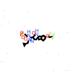 CS(=O)(=O)CC(=O)Nc1c2c(nn1CCC1CC1)CC1(Cc3ccc(OCC(F)(F)F)cc3C1)NC2=O